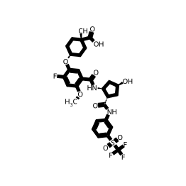 COc1cc(F)c(O[C@H]2CC[C@@](C)(C(=O)O)CC2)cc1C(=O)N[C@@H]1C[C@@H](O)C[C@@H]1C(=O)Nc1cccc(S(=O)(=O)C(F)(F)F)c1